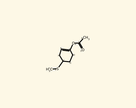 CSC1CC=C(OC(C)=O)CC1